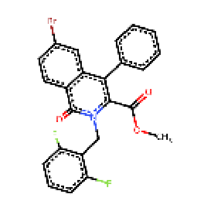 COC(=O)c1c(-c2ccccc2)c2cc(Br)ccc2c(=O)n1Cc1c(F)cccc1F